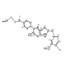 COCCN(C)c1ccc(-c2nc3nc(OC4C=C(C(=O)O)C(C)=CC4)[nH]c3cc2Cl)cc1